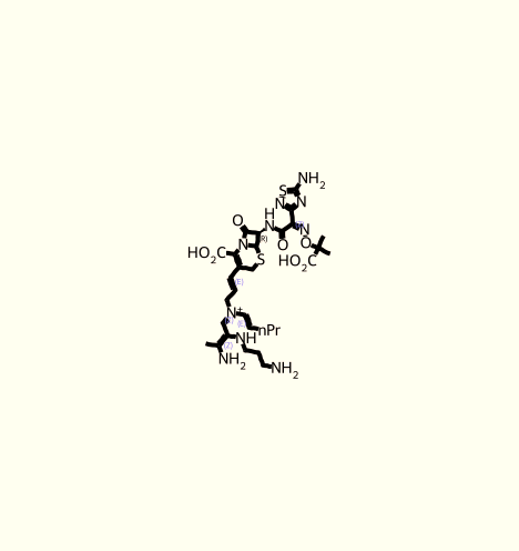 CCC/C=C/[N+](=C\C(NCCCN)=C(/C)N)C/C=C/C1=C(C(=O)O)N2C(=O)[C@@H](NC(=O)/C(=N\OC(C)(C)C(=O)O)c3nsc(N)n3)C2SC1